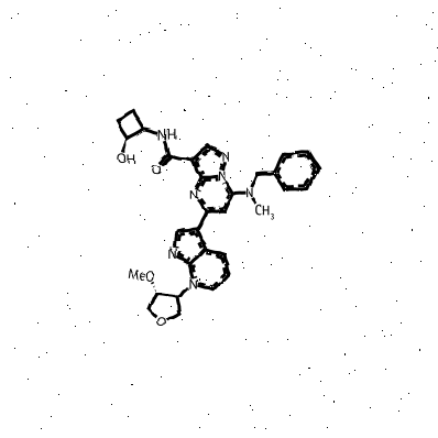 CO[C@H]1COCC1n1cccc2c(-c3cc(N(C)Cc4ccccc4)n4ncc(C(=O)NC5CC[C@@H]5O)c4n3)cnc1-2